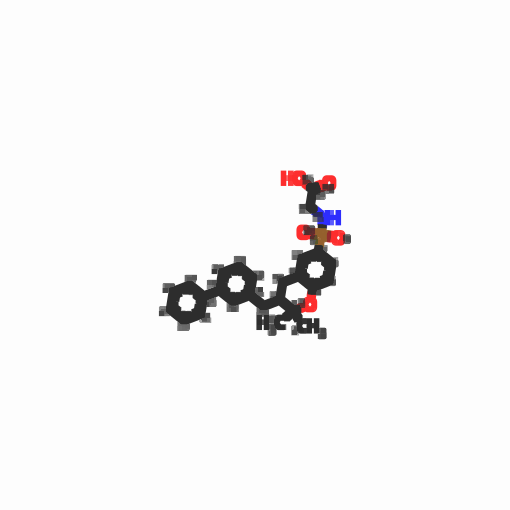 CC1(C)Oc2ccc(S(=O)(=O)NCC(=O)O)cc2CC1Cc1cccc(-c2ccccc2)c1